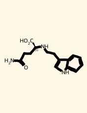 NC(=O)CC[C@H](NCCc1c[nH]c2ccccc12)C(=O)O